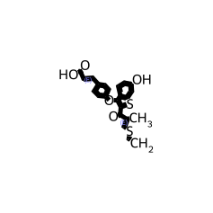 C=CS/C=C(\C)C(=O)c1sc2cc(O)ccc2c1Oc1ccc(/C=C/C(=O)O)cc1